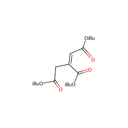 CC(C)COC(=O)C=C(CC(=O)OCC(C)C)C(=O)OCC(C)C